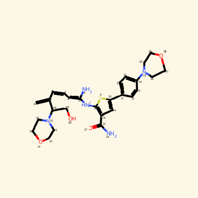 C=C(/C=C\C=C(/N)Nc1sc(-c2ccc(N3CCOCC3)cc2)cc1C(N)=O)C(CO)N1CCOCC1